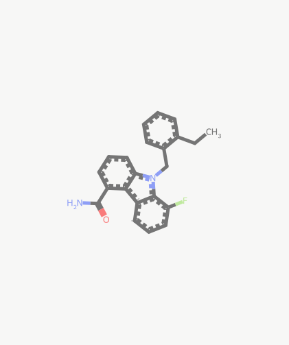 CCc1ccccc1Cn1c2cccc(C(N)=O)c2c2[c]ccc(F)c21